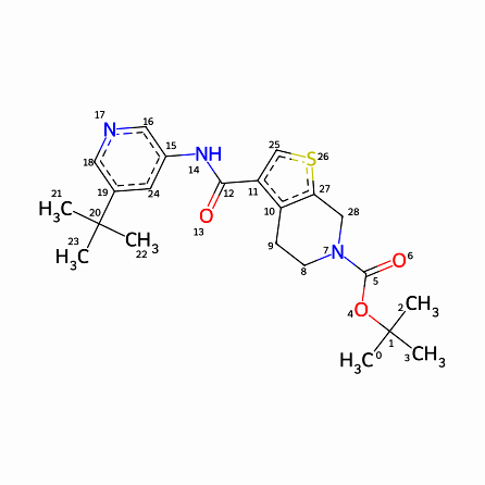 CC(C)(C)OC(=O)N1CCc2c(C(=O)Nc3cncc(C(C)(C)C)c3)csc2C1